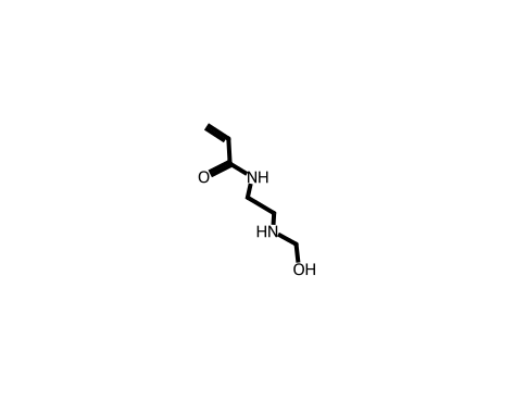 C=CC(=O)NCCNCO